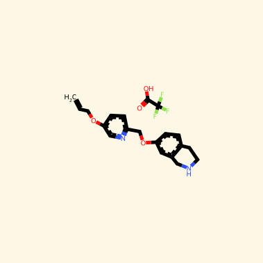 C=CCOc1ccc(COc2ccc3c(c2)CNCC3)nc1.O=C(O)C(F)(F)F